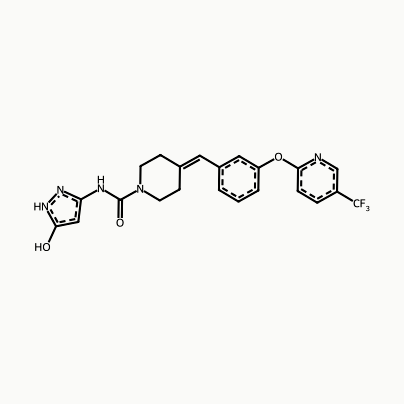 O=C(Nc1cc(O)[nH]n1)N1CCC(=Cc2cccc(Oc3ccc(C(F)(F)F)cn3)c2)CC1